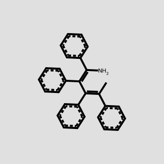 C/C(=C(\C(=C(/N)c1ccccc1)c1ccccc1)c1ccccc1)c1ccccc1